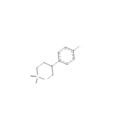 [O-][N+]1([O-])CCC(c2ccc(Br)cc2)CS1